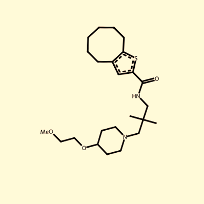 COCCOC1CCN(CC(C)(C)CNC(=O)c2cc3c(s2)CCCCCC3)CC1